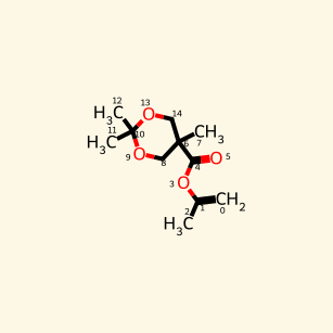 C=C(C)OC(=O)C1(C)COC(C)(C)OC1